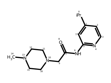 CC(C)c1ccnc(NC(=O)CN2CCN(C)CC2)c1